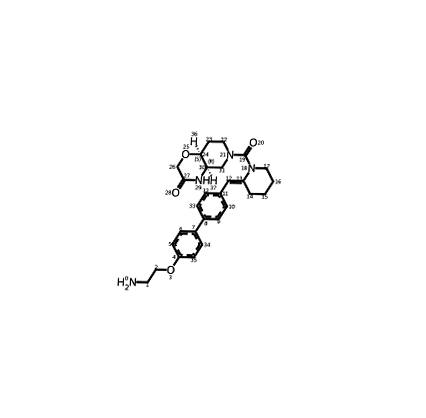 NCCOc1ccc(-c2ccc(C=C3CCCCN3C(=O)N3CC[C@@H]4OCC(=O)N[C@@H]4C3)cc2)cc1